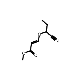 CCC(C#N)OC=CC(=O)OC